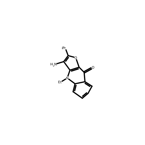 CCn1c2ccccc2c(=O)c2oc(C(C)C)c(N)c21